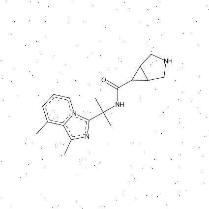 Cc1cccn2c(C(C)(C)NC(=O)C3C4CNCC43)nc(C)c12